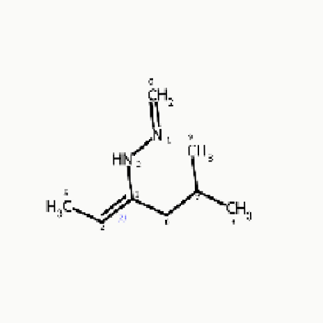 C=NN/C(=C\C)CC(C)C